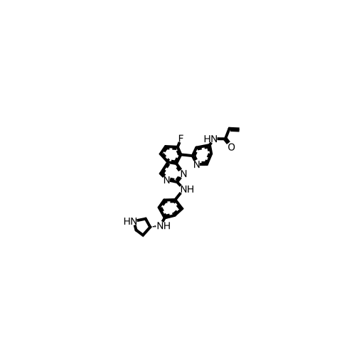 C=CC(=O)Nc1ccnc(-c2c(F)ccc3cnc(Nc4ccc(N[C@@H]5CCNC5)cc4)nc23)c1